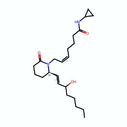 CCCCCC(O)/C=C/[C@H]1CCCC(=O)N1C/C=C\CCCC(=O)NC1CC1